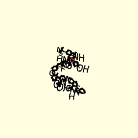 Cc1ncsc1-c1ccc(C(C)NC(=O)[C@@H]2C[C@@H](O)CN2C(=O)C(NC(=O)CC(Cc2ccc(Oc3cccc(-c4ccc(N5CCc6cccc(C(=O)Nc7nc8ccccc8s7)c6C5)nc4C(=O)O)c3C)cc2)C(F)(F)F)C(C)(C)C)cc1